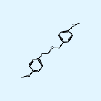 COc1ccc(C[CH]OCc2ccc(OC)cc2)cc1